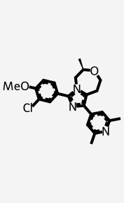 COc1ccc(-c2nc(-c3cc(C)nc(C)c3)c3n2C[C@@H](C)OCC3)cc1Cl